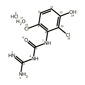 Cl.N=C(N)NC(=O)Nc1c(Cl)ccc(O)c1Cl.O